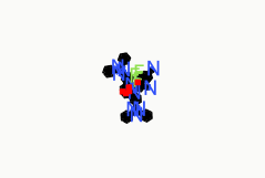 N#Cc1ccc(-c2cc(-n3c4ccccc4c4cc(-c5nc(-c6ccccc6)nc(-c6ccccc6)n5)ccc43)c(-n3c4ccccc4c4cc(-c5nc(-c6ccccc6)nc(-c6ccccc6)n5)ccc43)cc2C#N)c(C(F)(F)F)c1